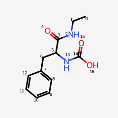 CCNC(=O)C(Cc1ccccc1)NC(=O)O